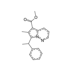 COC(=O)c1c(C)c(C(C)c2ccccc2)n2ncccc12